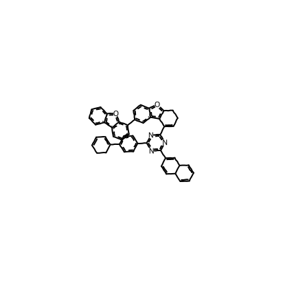 C1=CCCC(c2ccc(-c3nc(C4=CC5C=CC=CC5C=C4)nc(C4=CCCc5oc6ccc(-c7cccc8c7oc7ccccc78)cc6c54)n3)cc2)=C1